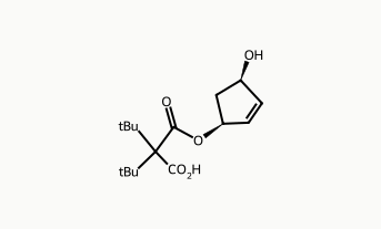 CC(C)(C)C(C(=O)O)(C(=O)O[C@@H]1C=C[C@H](O)C1)C(C)(C)C